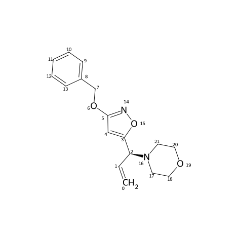 C=C[C@@H](c1cc(OCc2ccccc2)no1)N1CCOCC1